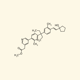 CCC(CC)(c1ccc(C=CC2(O)CCCC2)c(C)c1)c1ccc(-c2cncc(CC(=O)OC)c2)c(C)c1